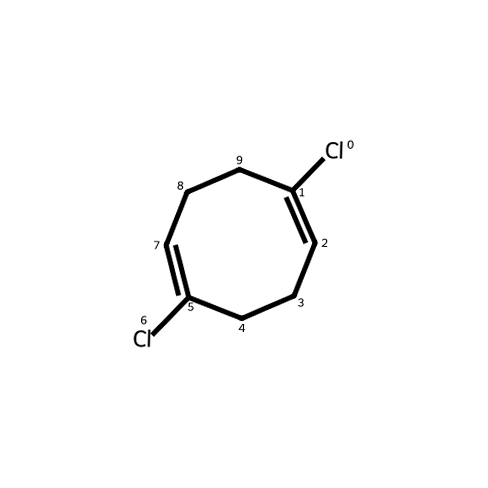 Cl/C1=C/CC/C(Cl)=C\CC1